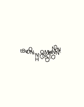 COc1nc(-c2cccc(-c3cccc(Nc4nc(C)nc5cccnc45)c3C)c2Cl)ccc1CNC1CN(C(=O)OC(C)(C)C)C1